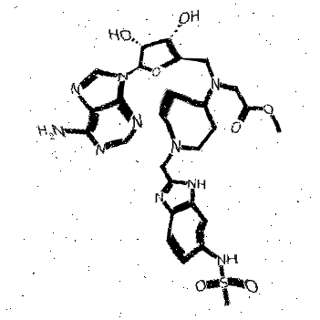 COC(=O)CN(C[C@H]1O[C@@H](n2cnc3c(N)ncnc32)[C@H](O)[C@@H]1O)C1CCN(Cc2nc3ccc(NS(C)(=O)=O)cc3[nH]2)CC1